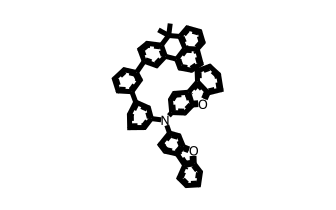 CC1(C)c2ccc(-c3cccc(-c4cccc(N(c5ccc6c(c5)oc5ccccc56)c5ccc6c(c5)oc5ccccc56)c4)c3)cc2-c2cccc3cccc1c23